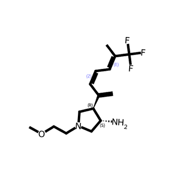 C=C(/C=C\C=C(/C)C(F)(F)F)[C@@H]1CN(CCOC)C[C@H]1N